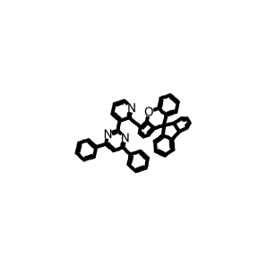 C1=CC2c3ccccc3C3(c4ccccc4Oc4c(-c5ncccc5-c5nc(-c6ccccc6)cc(-c6ccccc6)n5)cccc43)C2C=C1